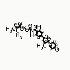 C[C@H](CC(=O)c1ccc(C(=N)NC(=O)OCOC(=O)C(C)(C)C)cc1)C(=O)N1CCC([O])CC1